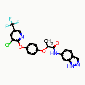 CC(Oc1ccc(Oc2ncc(C(F)(F)F)cc2Cl)cc1)C(=O)Nc1ccc2cn[nH]c2c1